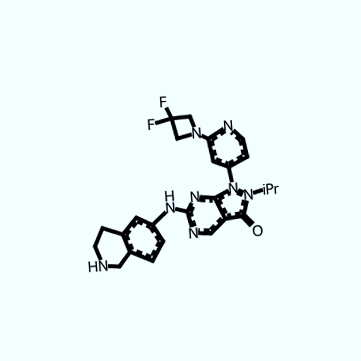 CC(C)n1c(=O)c2cnc(Nc3ccc4c(c3)CCNC4)nc2n1-c1ccnc(N2CC(F)(F)C2)c1